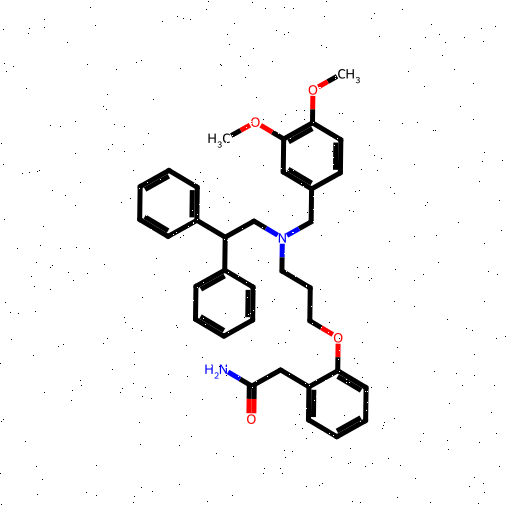 COc1ccc(CN(CCCOc2ccccc2CC(N)=O)CC(c2ccccc2)c2ccccc2)cc1OC